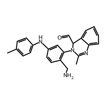 CC1=Nc2ccccc2C(C=O)N1c1cc(Nc2ccc(C)cc2)ccc1CN